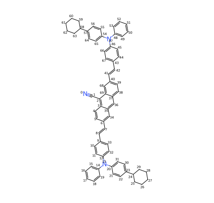 N#Cc1c2ccc(C=Cc3ccc(N(c4ccccc4)c4ccc(C5CCCCC5)cc4)cc3)cc2cc2ccc(C=Cc3ccc(N(c4ccccc4)c4ccc(C5CCCCC5)cc4)cc3)cc12